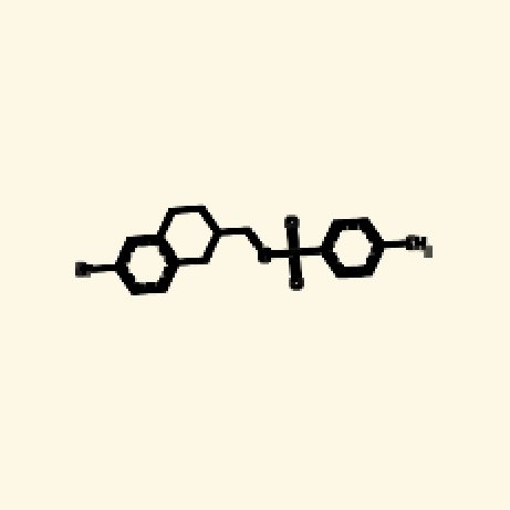 Cc1ccc(S(=O)(=O)OCC2CCc3cc(Br)ccc3C2)cc1